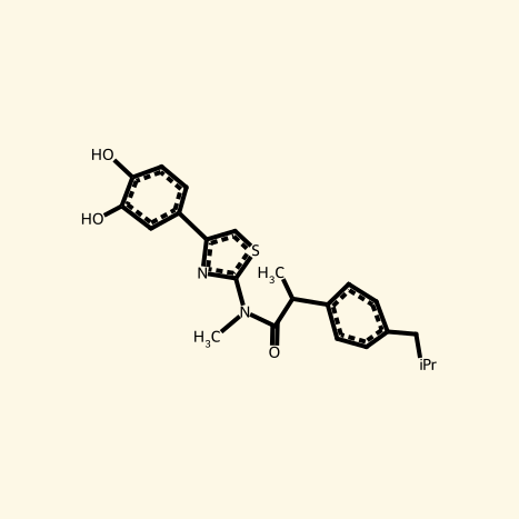 CC(C)Cc1ccc(C(C)C(=O)N(C)c2nc(-c3ccc(O)c(O)c3)cs2)cc1